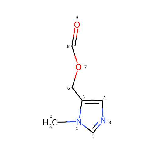 Cn1cncc1COC=O